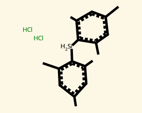 Cc1cc(C)c([SiH2]c2c(C)cc(C)cc2C)c(C)c1.Cl.Cl